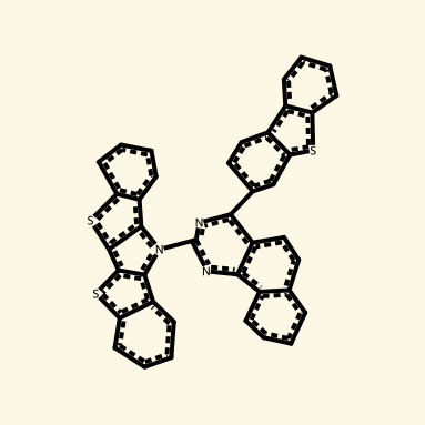 c1ccc2c(c1)ccc1c(-c3ccc4c(c3)sc3ccccc34)nc(-n3c4c5ccccc5sc4c4sc5ccccc5c43)nc12